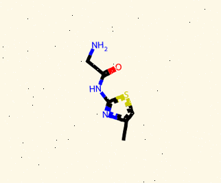 Cc1csc(NC(=O)CN)n1